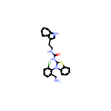 NCc1cccc(Cl)c1N1c2ccccc2SC1NC(=O)NCCc1c[nH]c2ccccc12